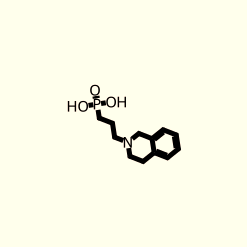 O=P(O)(O)CCCN1CCc2ccccc2C1